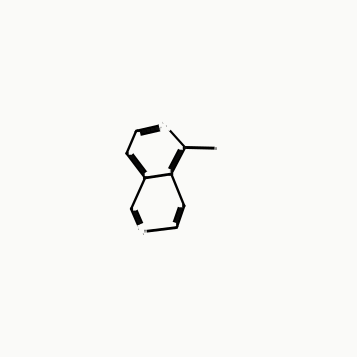 CC(C)c1nccc2cnccc12